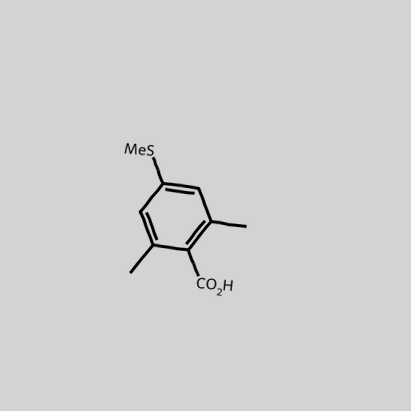 CSc1cc(C)c(C(=O)O)c(C)c1